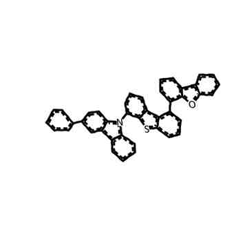 c1ccc(-c2ccc3c(c2)c2ccccc2n3-c2cccc3c2sc2cccc(-c4cccc5c4oc4ccccc45)c23)cc1